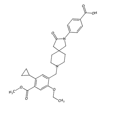 CCOc1cc(C(=O)OC)c(C2CC2)cc1CN1CCC2(CC1)CC(=O)N(c1ccc(C(=O)O)cc1)C2